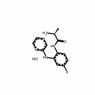 C[C@H](N)C(=O)Nc1ccc(F)cc1Nc1cnccn1.Cl